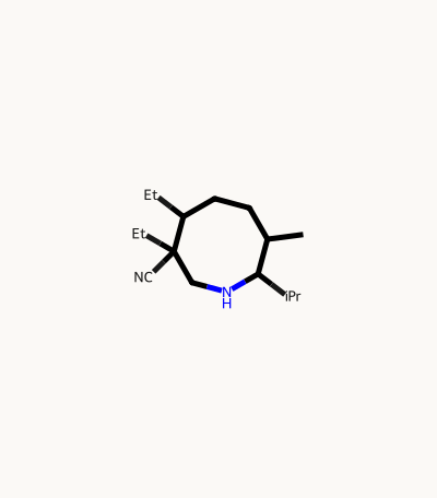 CCC1CCC(C)C(C(C)C)NCC1(C#N)CC